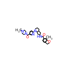 Cc1c(C(=O)NC2CC3CCCN(c4ccc(C(=O)N5CCN(C)CC5)cn4)C3C2)ccc2c1OCC2